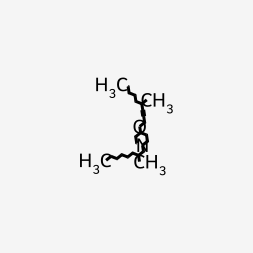 CCCCCCC(C)CN1CCC(OCC#CC(C)CCCCC)CC1